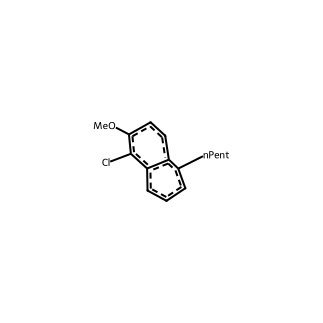 CCCCCc1cccc2c(Cl)c(OC)ccc12